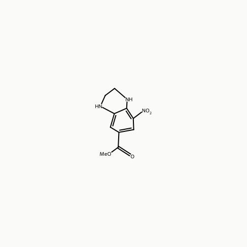 COC(=O)c1cc2c(c([N+](=O)[O-])c1)NCCN2